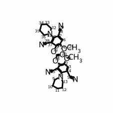 COc1cc(C#N)c(N2CCCCC2)c(C#N)c1OC(=O)Oc1c(OC)cc(C#N)c(N2CCCCC2)c1C#N